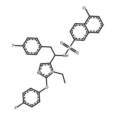 CCn1c(C(Cc2ccc(F)cc2)NS(=O)(=O)c2ccc3c(Cl)cccc3c2)cnc1Oc1ccc(F)cc1